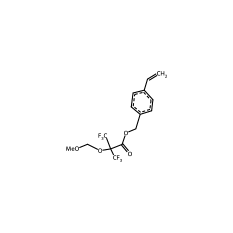 C=Cc1ccc(COC(=O)C(OCOC)(C(F)(F)F)C(F)(F)F)cc1